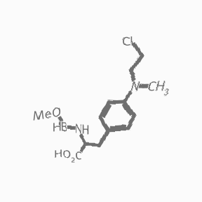 COBNC(Cc1ccc(N(C)CCCl)cc1)C(=O)O